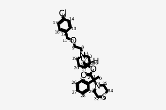 CC(C(=O)O[C@H]1C[N+]2(CCOCc3ccc(Cl)cc3)CCC1CC2)(c1ccccc1)N1CCSCC1